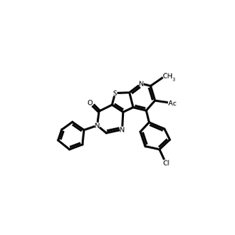 CC(=O)c1c(C)nc2sc3c(=O)n(-c4ccccc4)cnc3c2c1-c1ccc(Cl)cc1